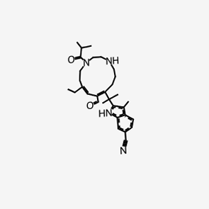 CC/C1=C/C(C=O)=C(/C(C)(C)c2[nH]c3cc(C#N)ccc3c2C)CCCNCCN(C(=O)C(C)C)CC1